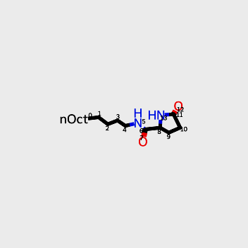 CCCCCCCCCCCCNC(=O)C1CCC(=O)N1